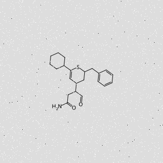 NC(=O)[CH]C(C=O)C1C=C(C2CCCCC2)SC(Cc2ccccc2)C1